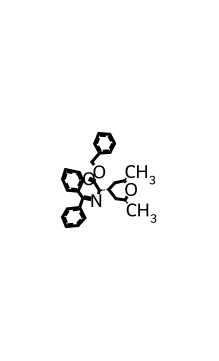 C[C@@H]1C[C@H](C(N=C(c2ccccc2)c2ccccc2)C(=O)OCc2ccccc2)C[C@H](C)O1